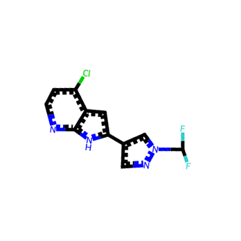 FC(F)n1cc(-c2cc3c(Cl)ccnc3[nH]2)cn1